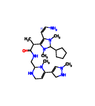 CC(C(=O)NCC1NCC=C(C2=CN(C)NC2)N1C)C1=C(/C=C\N)N(C)C(C2CCCC2)N1C